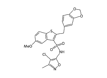 COc1ccc2sc(Cc3ccc4c(c3)OCO4)c(S(=O)(=O)Nc3onc(C)c3Cl)c2c1